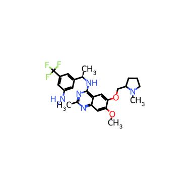 COc1cc2nc(C)nc(N[C@H](C)c3cc(N)cc(C(F)(F)F)c3)c2cc1OCC1CCCN1C